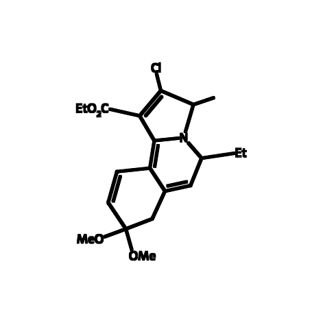 CCOC(=O)C1=C(Cl)C(C)N2C1=C1C=CC(OC)(OC)CC1=CC2CC